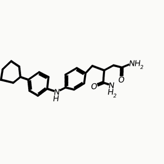 NC(=O)CC(Cc1ccc(Nc2ccc(C3CCCCC3)cc2)cc1)C(N)=O